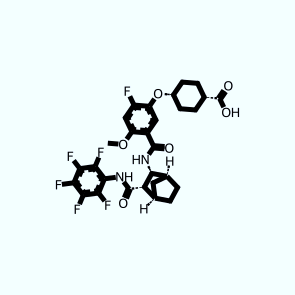 COc1cc(F)c(O[C@H]2CC[C@@H](C(=O)O)CC2)cc1C(=O)N[C@@H]1[C@H]2CC[C@H](C2)[C@@H]1C(=O)Nc1c(F)c(F)c(F)c(F)c1F